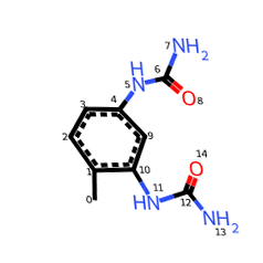 Cc1ccc(NC(N)=O)cc1NC(N)=O